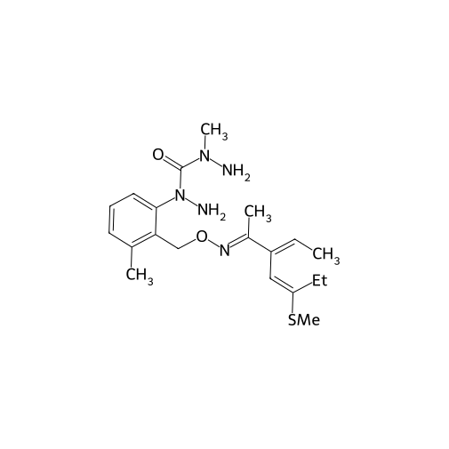 C/C=C(\C=C(/CC)SC)C(/C)=N/OCc1c(C)cccc1N(N)C(=O)N(C)N